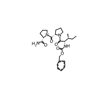 CC[C@H](C)[C@H](NC(=O)OCc1ccccc1)C(=O)N1CCC[C@H]1C(=O)N1CCC[C@H]1C(N)=O